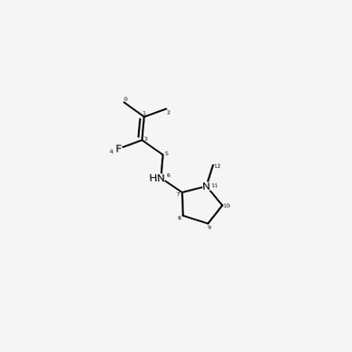 CC(C)=C(F)CNC1CCCN1C